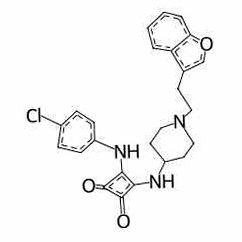 O=c1c(Nc2ccc(Cl)cc2)c(NC2CCN(CCc3coc4ccccc34)CC2)c1=O